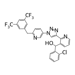 OC(c1ccccc1Cl)c1cccnc1-c1cn(-c2ccc(Cc3cc(C(F)(F)F)cc(C(F)(F)F)c3)nc2)nn1